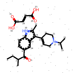 CCC(C)C(=O)c1ccc2[nH]c(C)c(C3=CCN(C(C)C)CC3)c2c1.O=C(O)C=CC(=O)O